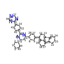 c1ccc(-c2cc(-c3ccc(-c4ccc5c6c(cccc46)-c4ccccc4-5)cc3)nc(-c3ccc(-c4ncncn4)cc3)n2)cc1